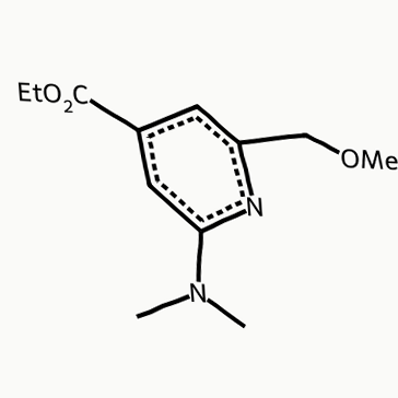 CCOC(=O)c1cc(COC)nc(N(C)C)c1